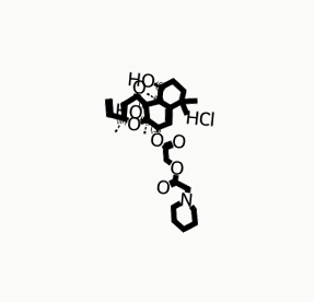 C=C[C@@]1(C)CC(=O)[C@@]2(O)[C@](C)(O1)[C@@H](OC(=O)COC(=O)CN1CCCCC1)C=C1C(C)(C)CC[C@H](O)[C@@]12C.Cl